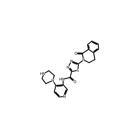 O=C(Nc1cnccc1N1CCNCC1)c1nnc(N2CCc3ccccc3C2=O)s1